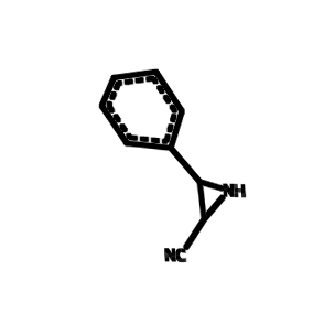 N#CC1NC1c1ccccc1